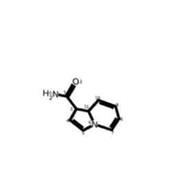 NC(=O)C1C=CN2C=CC=CC12